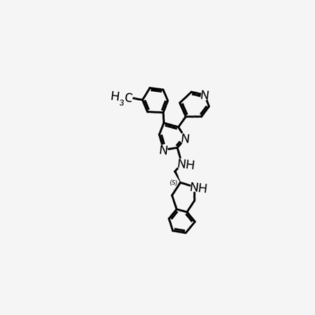 Cc1cccc(-c2cnc(NC[C@@H]3Cc4ccccc4CN3)nc2-c2ccncc2)c1